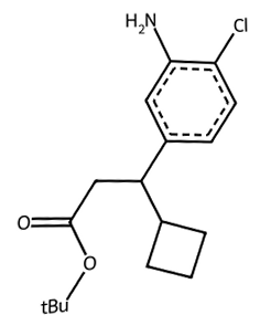 CC(C)(C)OC(=O)CC(c1ccc(Cl)c(N)c1)C1CCC1